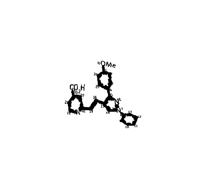 COc1ccc(-c2nn(-c3ccccc3)cc2/C=C/c2cc(C(=O)O)ccn2)cc1